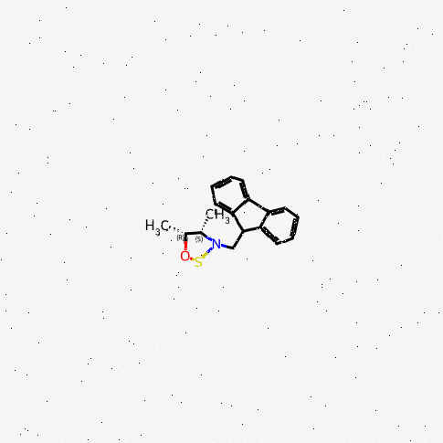 C[C@H]1OSN(CC2c3ccccc3-c3ccccc32)[C@H]1C